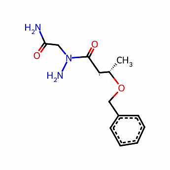 C[C@@H]([CH]C(=O)N(N)CC(N)=O)OCc1ccccc1